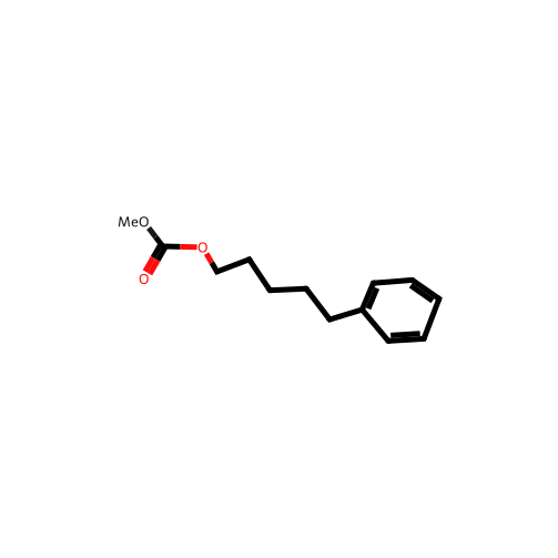 COC(=O)OCCCCCc1ccccc1